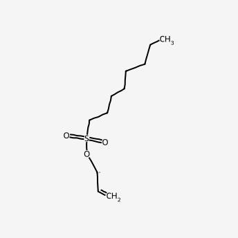 C=C[CH]OS(=O)(=O)CCCCCCCC